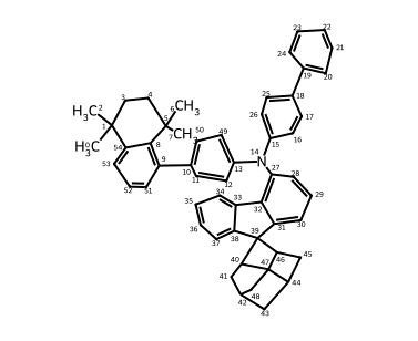 CC1(C)CCC(C)(C)c2c(-c3ccc(N(c4ccc(-c5ccccc5)cc4)c4cccc5c4-c4ccccc4C54C5CC6CC7CC4C75C6)cc3)cccc21